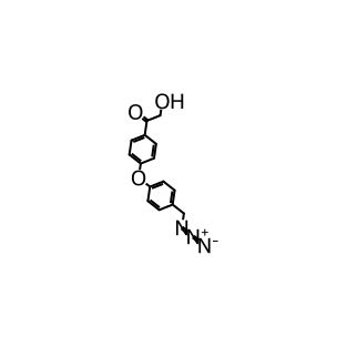 [N-]=[N+]=NCc1ccc(Oc2ccc(C(=O)CO)cc2)cc1